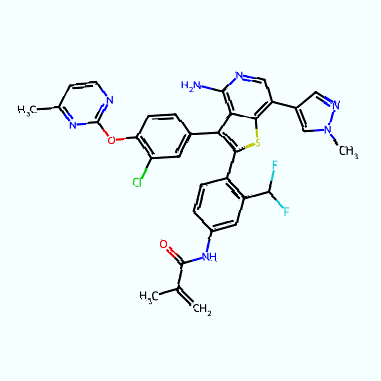 C=C(C)C(=O)Nc1ccc(-c2sc3c(-c4cnn(C)c4)cnc(N)c3c2-c2ccc(Oc3nccc(C)n3)c(Cl)c2)c(C(F)F)c1